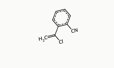 C=C(Cl)c1ccccc1C#N